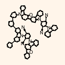 N#Cc1cc(-n2c3ccccc3c3c4oc5c(ccc6c5c5ccccc5n6-c5cccc(-c6cccc(-c7ccc8c(c7)c7cc(-c9ccccc9)ccc7n8-c7c(C#N)ccc(-n8c9ccccc9c9c%10oc%11ccccc%11c%10ccc98)c7C#N)c6)c5)c4ccc32)c(C#N)cc1-n1c2ccccc2c2ccccc21